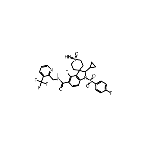 N=S1(=O)CCC2(CC1)c1c(ccc(C(=O)NCc3ncccc3C(F)(F)F)c1F)N(S(=O)(=O)c1ccc(F)cc1)C2C1CC1